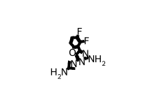 Nc1nc(N2CC(N)C2)c2oc3ccc(F)c(F)c3c2n1